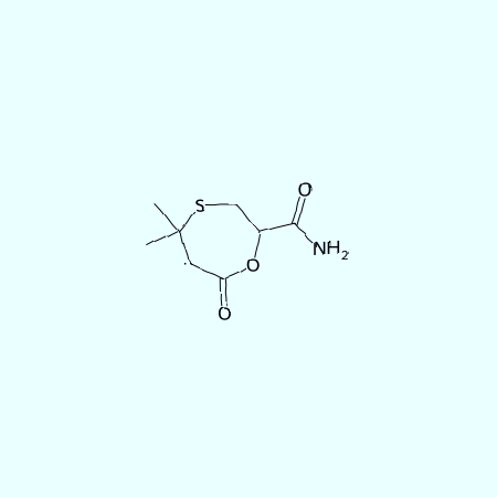 CC1(C)[CH]C(=O)OC(C(N)=O)CS1